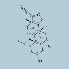 COC[C@]12CC[C@@H](O)C[C@@H]1CC[C@@H]1[C@@H]2CC[C@]2(C)C(C#N)=CC[C@@H]12